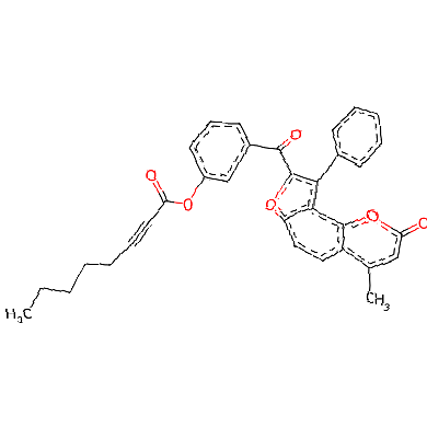 CCCCCC#CC(=O)Oc1cccc(C(=O)c2oc3ccc4c(C)cc(=O)oc4c3c2-c2ccccc2)c1